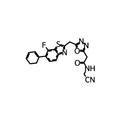 N#CCNC(=O)Cc1nnc(Cc2nc3ccc(C4=CC=CCC4)c(F)c3s2)o1